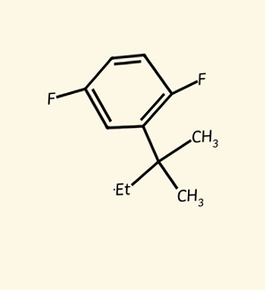 C[CH]C(C)(C)c1cc(F)ccc1F